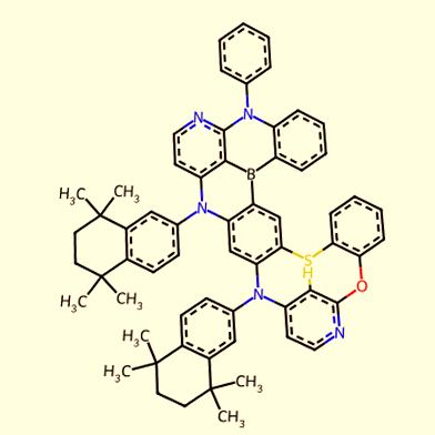 CC1(C)CCC(C)(C)c2cc(N3c4cc5c(cc4B4c6ccccc6N(c6ccccc6)c6nccc3c64)[SH]3c4ccccc4Oc4nccc(c43)N5c3ccc4c(c3)C(C)(C)CCC4(C)C)ccc21